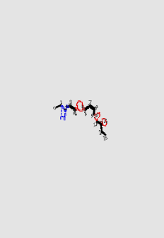 CCNCCOC/C=C\COCC(=O)CC